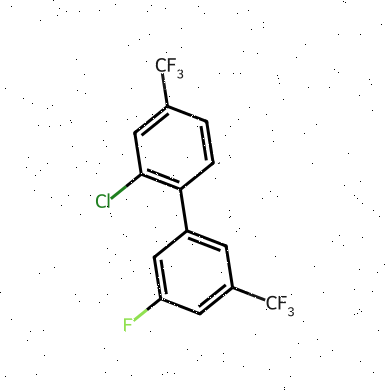 Fc1cc(-c2[c]cc(C(F)(F)F)cc2Cl)cc(C(F)(F)F)c1